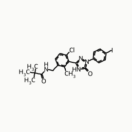 Cc1c(CNC(=O)C(C)(C)C)ccc(Cl)c1-c1nn(-c2ccc(I)cc2)c(=O)[nH]1